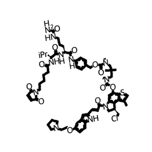 Cc1csc2c(OC(=O)N(C)CC(C)(C)CN(C)C(=O)OCc3ccc(NC(=O)[C@H](CCCNC(N)=O)NC(=O)[C@@H](NC(=O)CCCCCN4C(=O)C=CC4=O)C(C)C)cc3)cc3c(c12)[C@@H](CCl)CN3C(=O)/C=C/c1cc2cc(OCCN3CCCC3)ccc2[nH]1